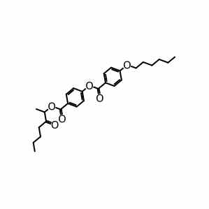 CCCCCCOc1ccc(C(=O)Oc2ccc(C(=O)OC(C)C(=O)CCCC)cc2)cc1